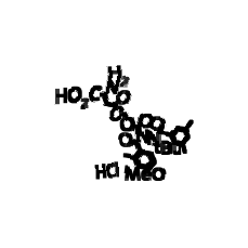 COc1cccc(C(=O)N(C(=O)OCOC(=O)CC(N)C(=O)O)N(C(=O)c2cc(C)cc(C)c2)C(C)(C)C)c1C.Cl